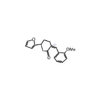 COc1ccccc1/C=C1/CCC(c2ccco2)CC1=O